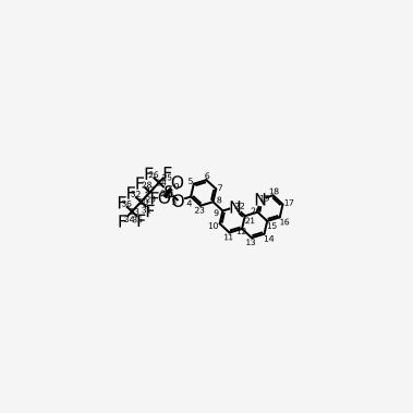 O=S(=O)(Oc1cccc(-c2ccc3ccc4cccnc4c3n2)c1)C(F)(F)C(F)(F)C(F)(F)C(F)(F)F